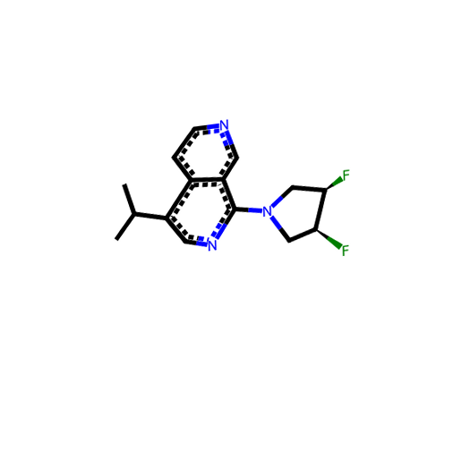 CC(C)c1cnc(N2C[C@@H](F)[C@@H](F)C2)c2cnccc12